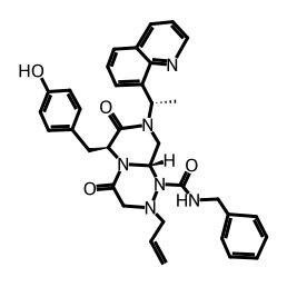 C=CCN1CC(=O)N2[C@@H](Cc3ccc(O)cc3)C(=O)N([C@@H](C)c3cccc4cccnc34)C[C@@H]2N1C(=O)NCc1ccccc1